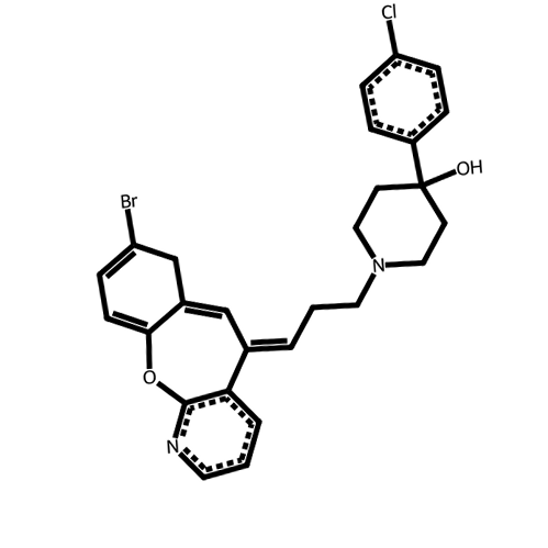 OC1(c2ccc(Cl)cc2)CCN(CCC=C2C=C3CC(Br)=CC=C3Oc3ncccc32)CC1